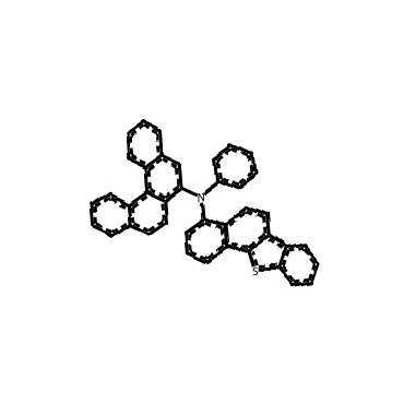 c1ccc(N(c2cccc3c2ccc2c4ccccc4sc32)c2cc3ccccc3c3c2ccc2ccccc23)cc1